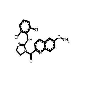 COc1ccc2nc(C(=O)N3CCN=C3Nc3c(Cl)cccc3Cl)ccc2c1